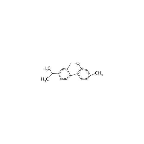 Cc1ccc2c(c1)OCc1cc(C(C)C)ccc1-2